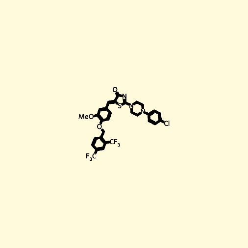 COc1cc(/C=C2\SC(N3CCN(c4ccc(Cl)cc4)CC3)=NC2=O)ccc1OCc1ccc(C(F)(F)F)cc1C(F)(F)F